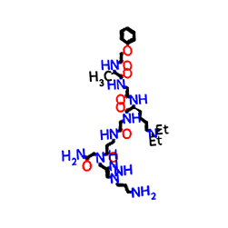 CCN(CC)CCCC[C@H](NC(=O)CNC(=O)[C@H](C)NC(=O)COc1ccccc1)C(=O)NCC(=O)NCCC(=O)N(CC(N)=O)CC1=CN(CCCN)NN1